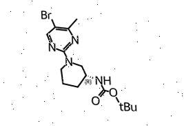 Cc1nc(N2CCC[C@@H](NC(=O)OC(C)(C)C)C2)ncc1Br